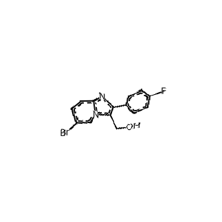 OCc1c(-c2ccc(F)cc2)nc2ccc(Br)cn12